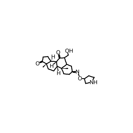 C[C@]12CCC(=NOC3CCNC3)CC1C(CO)C(=O)[C@@H]1[C@H]2CC[C@]2(C)C(=O)CC[C@@H]12